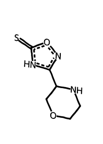 S=c1[nH]c(C2COCCN2)no1